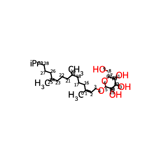 CC(=CCOC1O[C@H](CO)[C@H](O)[C@H](O)[C@H]1O)CCCC(C)CCCC(C)CCCC(C)C